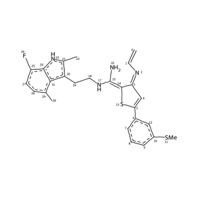 C=C/N=C1/C=C(c2cccc(SC)c2)S/C1=C(/N)NCCc1c(C)[nH]c2c(F)ccc(C)c12